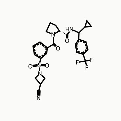 N#CC1CN(S(=O)(=O)c2cccc(C(=O)N3CCC[C@@H]3C(=O)NC(c3ccc(C(F)(F)F)cc3)C3CC3)c2)C1